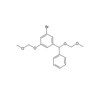 COCOc1cc(Br)cc(C(OCOC)c2ccccc2)c1